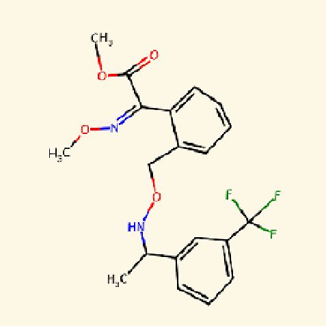 CON=C(C(=O)OC)c1ccccc1CONC(C)c1cccc(C(F)(F)F)c1